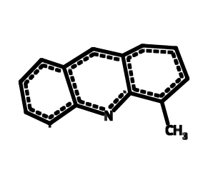 Cc1cccc2cc3ccc[c]c3nc12